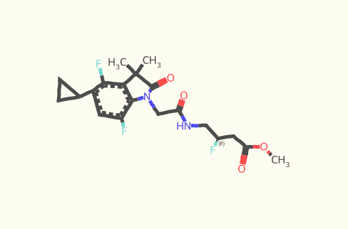 COC(=O)C[C@@H](F)CNC(=O)CN1C(=O)C(C)(C)c2c(F)c(C3CC3)cc(F)c21